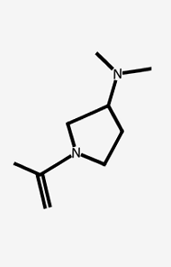 C=C(C)N1CCC(N(C)C)C1